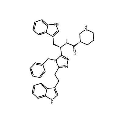 O=C(N[C@H](Cc1c[nH]c2ccccc12)c1nnc(CCc2c[nH]c3ccccc23)n1Cc1ccccc1)[C@@H]1CCCNC1